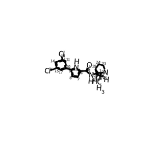 C[C@H]1[C@H](NC(=O)c2ccc(-c3cc(Cl)cc(Cl)c3)[nH]2)C2CCN1CC2